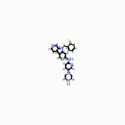 S=C1CC=CC=C1Cn1c2cnccc2c2cnc(Nc3ccc(N4CCNCC4)cn3)cc21